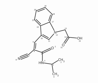 CC(C)NC(=O)C(C#N)=Cc1cn(CC(=O)O)c2ccccc12